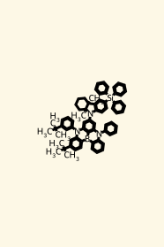 CC(C)(C)c1cccc(N2c3cc(C(C)(C)C)ccc3B3c4ccccc4N(c4ccccc4)c4cc(N5c6ccc([Si](c7ccccc7)(c7ccccc7)c7ccccc7)cc6C6(C)CCCCC56C)cc2c43)c1